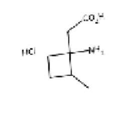 CC1CCC1(N)CC(=O)O.Cl